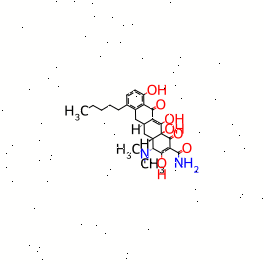 CCCCCc1ccc(O)c2c1C[C@@H]1C[C@H]3[C@@H](N(C)C)C(O)=C(C(N)=O)C(=O)[C@@]3(O)C(O)=C1C2=O